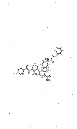 Cc1c(NC(=O)c2ccc(F)cn2)cccc1-c1ccc(C(N)=O)c2[nH]c3cc(NC(=O)OCc4ccccc4)ccc3c12